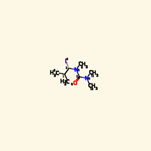 CC(C)[C@H](I)N(C)C(=O)N(C)C